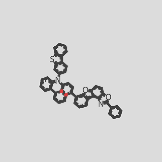 c1ccc(-c2nc3c(ccc4oc5c(-c6ccc(N(c7ccc8c(c7)sc7ccccc78)c7ccccc7-c7ccccc7)cc6)cccc5c43)o2)cc1